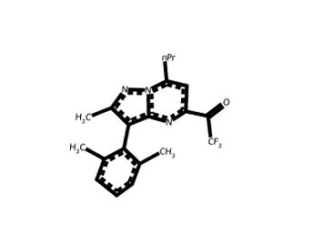 CCCc1cc(C(=O)C(F)(F)F)nc2c(-c3c(C)cccc3C)c(C)nn12